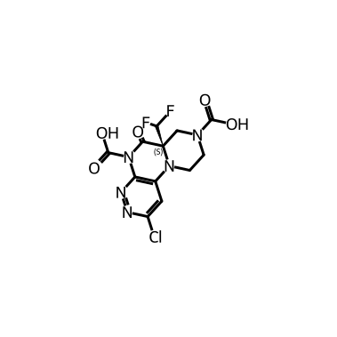 O=C(O)N1CCN2c3cc(Cl)nnc3N(C(=O)O)C(=O)[C@]2(C(F)F)C1